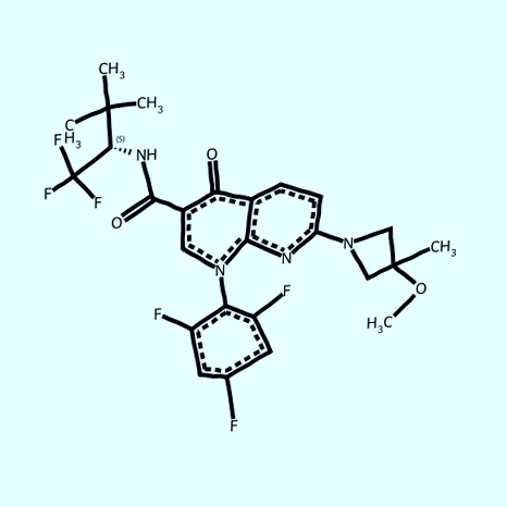 COC1(C)CN(c2ccc3c(=O)c(C(=O)N[C@@H](C(C)(C)C)C(F)(F)F)cn(-c4c(F)cc(F)cc4F)c3n2)C1